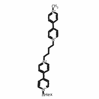 CCCCCC[n+]1ccc(-c2cc[n+](CCCC[n+]3ccc(-c4cc[n+](C)cc4)cc3)cc2)cc1